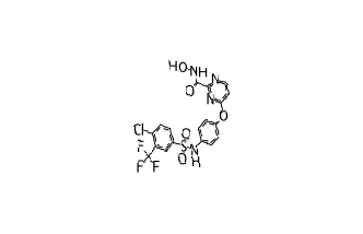 O=C(NO)c1nccc(Oc2ccc(NS(=O)(=O)c3ccc(Cl)c(C(F)(F)F)c3)cc2)n1